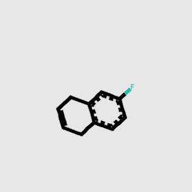 Fc1ccc2c(c1)[CH]C=CC2